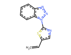 C=Cc1cnc(-n2nnc3ccccc32)s1